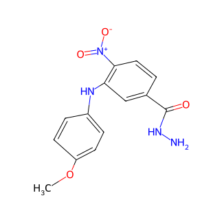 COc1ccc(Nc2cc(C(=O)NN)ccc2[N+](=O)[O-])cc1